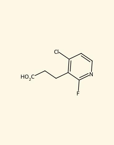 O=C(O)CCc1c(Cl)ccnc1F